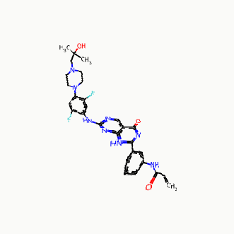 C=CC(=O)Nc1cccc(-c2nc(=O)c3cnc(Nc4cc(F)c(N5CCN(CC(C)(C)O)CC5)cc4F)nc3[nH]2)c1